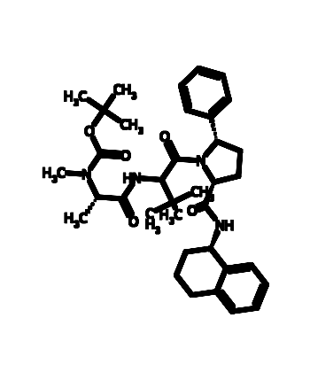 C[C@@H](C(=O)NC(C(=O)N1[C@H](C(=O)N[C@@H]2CCCc3ccccc32)CC[C@H]1c1ccccc1)C(C)(C)C)N(C)C(=O)OC(C)(C)C